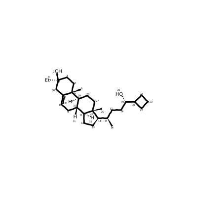 CC[C@]1(O)CC[C@@]2(C)C(=CC[C@H]3[C@@H]4CC[C@H]([C@H](C)CC[C@H](O)C5CCC5)[C@@]4(C)CC[C@@H]32)C1